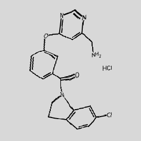 Cl.NCc1cc(Oc2cccc(C(=O)N3CCc4ccc(Cl)cc43)c2)ncn1